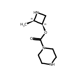 C[C@H]1NC[C@H]1OC(=O)N1CCNCC1